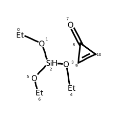 CCO[SiH](OCC)OCC.O=c1cc1